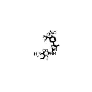 CCC(NC(=O)Nc1nc(C)c(-c2ccc(S(C)(=O)=O)c(C(F)(F)F)c2)s1)C(N)=O